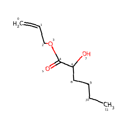 C=CCOC(=O)C(O)CCCC